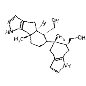 C[C@]1([C@H]2CC[C@]3(C)c4[nH]ncc4C[C@H]3[C@@H]2CO)Cc2cn[nH]c2C[C@@H]1CO